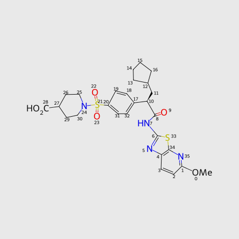 COc1ccc2nc(NC(=O)[C@H](CC3CCCC3)c3ccc(S(=O)(=O)N4CCC(C(=O)O)CC4)cc3)sc2n1